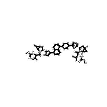 COC(=O)NC(C(=O)N1C2C(C)C2C[C@H]1c1nc(-c2cccc3c(-c4ccc(-c5cnc([C@@H]6C[C@H]7C[C@H]7N6C(=O)[C@@H](NC(=O)OC)C(C)C)[nH]5)cc4)cccc23)c[nH]1)C(C)C